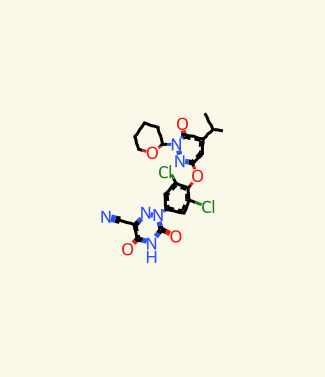 CC(C)c1cc(Oc2c(Cl)cc(-n3nc(C#N)c(=O)[nH]c3=O)cc2Cl)nn(C2CCCCO2)c1=O